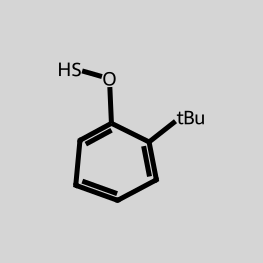 CC(C)(C)c1ccccc1OS